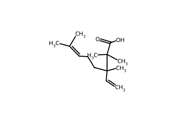 C=CC(C)(CCC=C(C)C)C(C)(C)C(=O)O